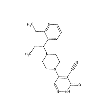 CCc1ncccc1[C@@H](CC)N1CCN(c2cn[nH]c(=O)c2C#N)CC1